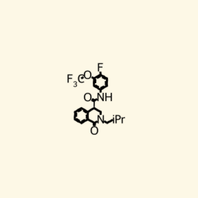 CC(C)CN1C[C@H](C(=O)Nc2ccc(F)c(OC(F)(F)F)c2)c2ccccc2C1=O